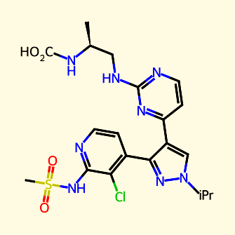 CC(C)n1cc(-c2ccnc(NC[C@H](C)NC(=O)O)n2)c(-c2ccnc(NS(C)(=O)=O)c2Cl)n1